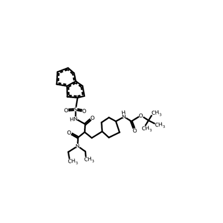 CCN(CC)C(=O)C(CC1CCC(NC(=O)OC(C)(C)C)CC1)C(=O)NS(=O)(=O)c1ccc2ccccc2c1